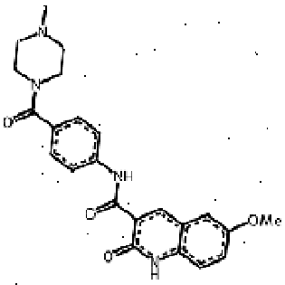 COc1ccc2[nH]c(=O)c(C(=O)Nc3ccc(C(=O)N4CCN(C)CC4)cc3)cc2c1